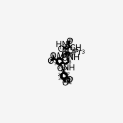 COC(=O)c1ccc(C(CC(=O)N[C@H](C(=O)[C@@H]2C(=O)NC(=O)[C@H]2C)C(C)C)NC(=O)c2ccc3c(c2)OCO3)cc1